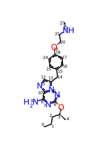 CCC[C@H](C)Oc1nc(N)c2ncc(Cc3ccc(OCCNC)cc3)n2n1